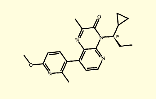 CC[C@H](C1CC1)n1c(=O)c(C)nc2c(-c3ccc(OC)nc3C)ccnc21